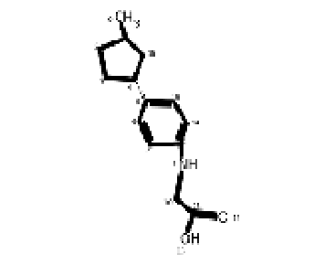 CC1CC[C@@H](c2ccc(NCC(=O)O)cc2)C1